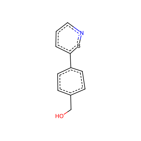 OCc1ccc(-c2bnccc2)cc1